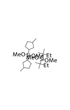 CCC(C)(C)[Si](OC)(OC)C(C)(C)CC.CO[Si](OC)(C1CCC(C)C1)C1CCC(C)C1